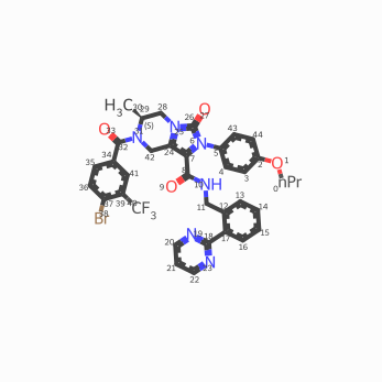 CCCOc1ccc(-n2c(C(=O)NCc3ccccc3-c3ncccn3)c3n(c2=O)C[C@H](C)N(C(=O)c2ccc(Br)c(C(F)(F)F)c2)C3)cc1